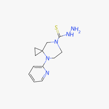 NNC(=S)N1CCN(c2ccccn2)C2(CC2)C1